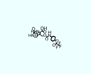 O=C(Nc1ccc(OC(=O)C(F)(F)F)cc1)OCC1=C(C(=O)O)N2C(=O)[C@H]3NCCC1[C@H]32